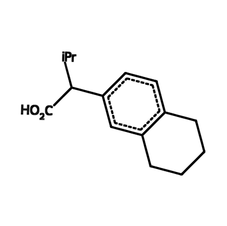 CC(C)C(C(=O)O)c1ccc2c(c1)CCCC2